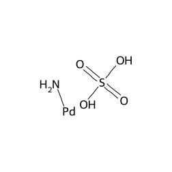 O=S(=O)(O)O.[NH2][Pd]